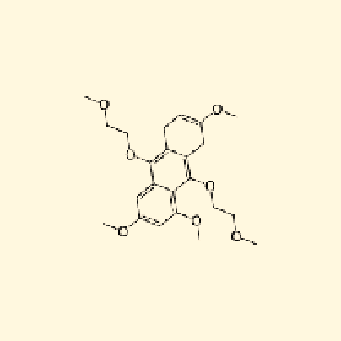 COCCOc1c2c(c(OCCOC)c3c(OC)cc(OC)cc13)CC(OC)=CC2